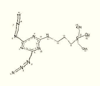 [N-]=[N+]=Nc1nc(N=[N+]=[N-])nc(NCCC[Si](O)(O)O)n1